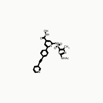 CC(=O)Nc1nc(C)c(S(=O)(=O)Nc2cc(C(=O)NO)cc(-c3ccc(C#Cc4cccnc4)cc3)n2)s1